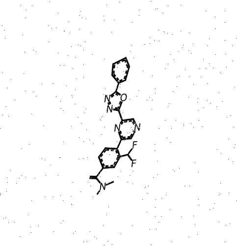 C=C(c1ccc(-c2cncc(-c3nnc(-c4ccccc4)o3)n2)c(C(F)F)c1)N(C)C